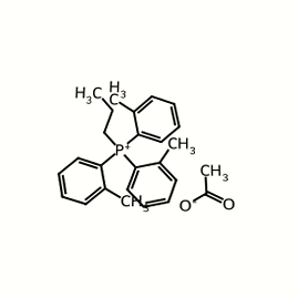 CC(=O)[O-].CCC[P+](c1ccccc1C)(c1ccccc1C)c1ccccc1C